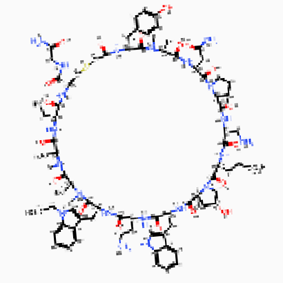 CCCC[C@H]1C(=O)N(C)[C@@H](CCCC)C(=O)N[C@@H](CC(C)C)C(=O)N[C@H](C(=O)NCC(N)=O)CSCC(=O)N[C@@H](Cc2ccc(O)cc2)C(=O)N(C)[C@@H](C)C(=O)N[C@@H](CC(N)=O)C(=O)N2CCC[C@H]2C(=O)N[C@@H](CN)C(=O)N[C@@H](CCC(=O)O)C(=O)N2C[C@H](O)C[C@H]2C(=O)N[C@@H](Cc2c[nH]c3ccccc23)C(=O)N[C@@H](CCN)C(=O)N[C@@H](Cc2cn(CC(=O)O)c3ccccc23)C(=O)N1C